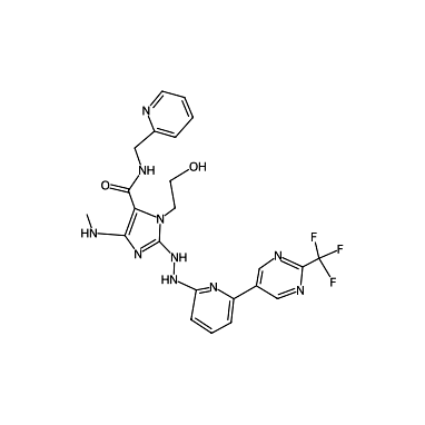 CNc1nc(NNc2cccc(-c3cnc(C(F)(F)F)nc3)n2)n(CCO)c1C(=O)NCc1ccccn1